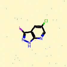 Clc1cnc2[nH]nc(I)c2c1